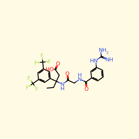 CCC(CC(=O)O)(NC(=O)CNC(=O)c1cccc(NC(=N)N)c1)c1cc(C(F)(F)F)cc(C(F)(F)F)c1